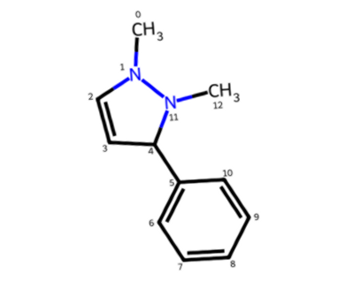 CN1C=CC(c2ccccc2)N1C